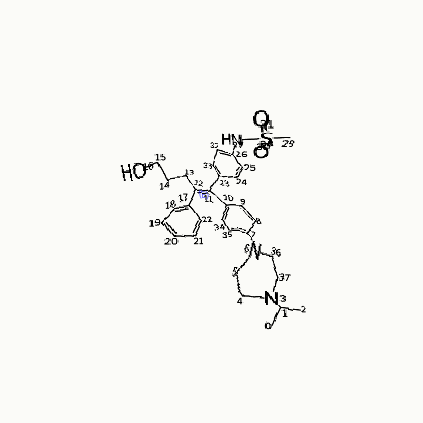 CC(C)N1CCN(c2ccc(/C(=C(/CCCO)c3ccccc3)c3ccc(NS(C)(=O)=O)cc3)cc2)CC1